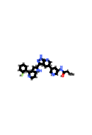 CC(C)(C)CC(=O)Nc1cncc(-c2cnc3[nH]nc(-c4cc5c(-c6ccccc6F)nccc5[nH]4)c3c2)c1